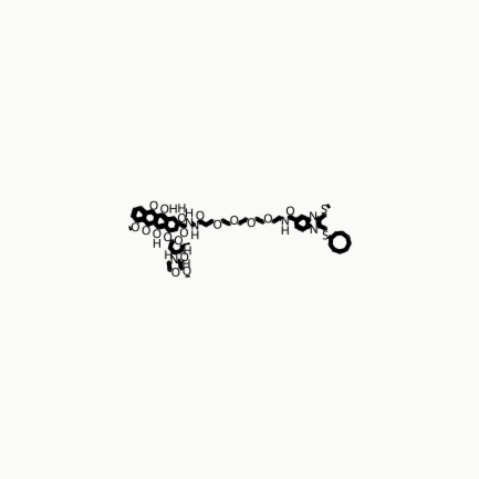 COc1cccc2c1C(=O)c1c(O)c3c(c(O)c1C2=O)C[C@@](O)(C(=O)NNC(=O)CCOCCOCCOCCOCCNC(=O)c1ccc2nc(CSC4CCCCCCCC4)c(CSC)nc2c1)C[C@@H]3O[C@H]1C[C@H]2[C@H](O[C@@H]3[C@@H](OC)OCCN32)[C@H](C)O1